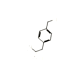 N[C@H](Cc1ccc(CCl)cc1)C(=O)O